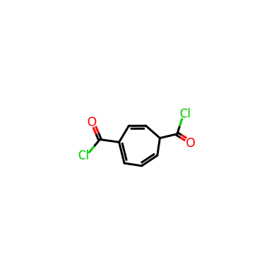 O=C(Cl)C1=CC=CC(C(=O)Cl)C=C1